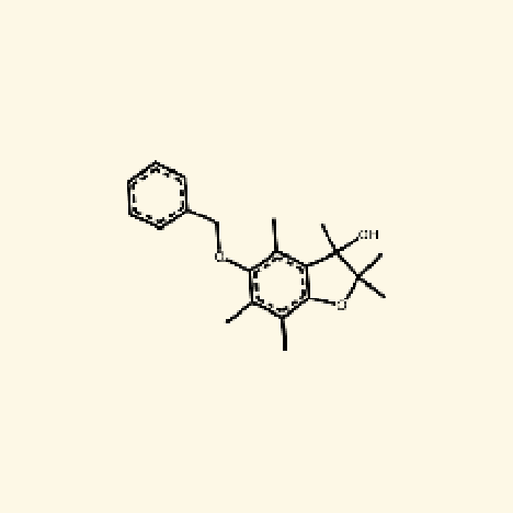 Cc1c(C)c2c(c(C)c1OCc1ccccc1)C(C)(O)C(C)(C)O2